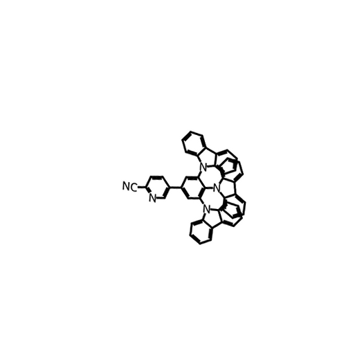 N#Cc1ccc(-c2cc(-n3c4ccccc4c4ccccc43)c(-n3c4ccccc4c4ccccc43)c(-n3c4ccccc4c4ccccc43)c2)cn1